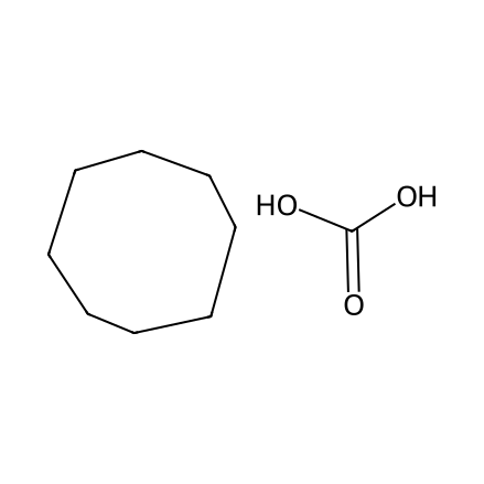 C1CCCCCCC1.O=C(O)O